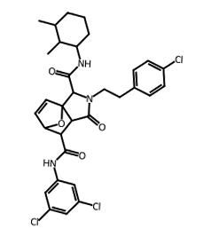 CC1CCCC(NC(=O)C2N(CCc3ccc(Cl)cc3)C(=O)C3C(C(=O)Nc4cc(Cl)cc(Cl)c4)C4C=CC32O4)C1C